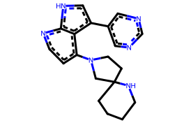 c1ncc(-c2c[nH]c3nccc(N4CCC5(CCCCN5)C4)c23)cn1